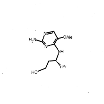 CCC[C@@H](CCO)Nc1nc(N)ncc1OC